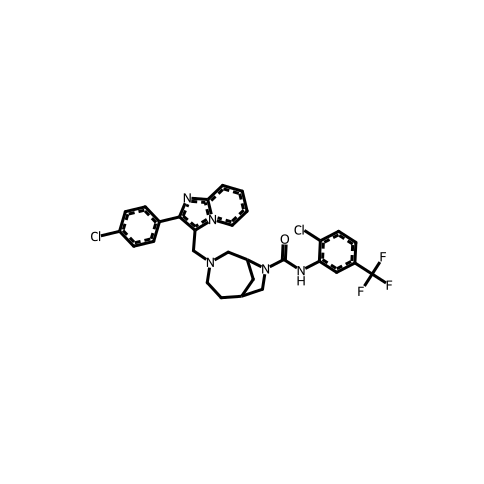 O=C(Nc1cc(C(F)(F)F)ccc1Cl)N1CC2CCN(Cc3c(-c4ccc(Cl)cc4)nc4ccccn34)CC1C2